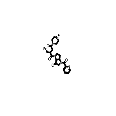 CC(C)CC(CC(=O)N1CCN(C)CC1)C(=O)N1CCC2C1C(=O)CN2C(=O)c1ccccn1